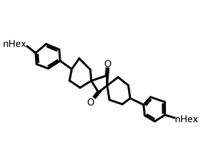 CCCCCCc1ccc(C2CCC3(CC2)C(=O)C2(CCC(c4ccc(CCCCCC)cc4)CC2)C3=O)cc1